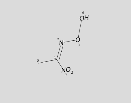 C/C(=N/OO)[N+](=O)[O-]